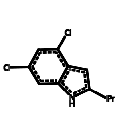 CC(C)c1cc2c(Cl)cc(Cl)cc2[nH]1